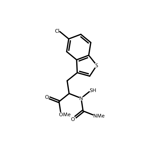 CNC(=O)N(S)C(Cc1csc2ccc(Cl)cc12)C(=O)OC